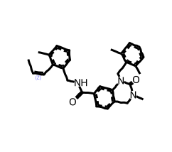 C/C=C\c1c(C)cccc1CNC(=O)c1ccc2c(c1)N(Cc1c(C)cccc1C)C(=O)N(C)C2